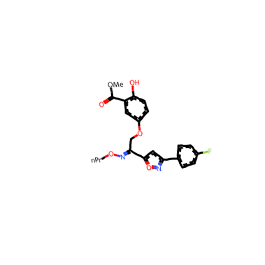 CCCO/N=C(\COc1ccc(O)c(C(=O)OC)c1)c1cc(-c2ccc(F)cc2)no1